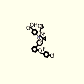 CN(CC1CCO1)/C(=N\c1ccc(C(=O)O)cc1)C1(N2CCC(c3ccccc3OCc3ccc(Cl)cc3F)CC2)CC1